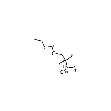 CCCCOCC(C)(C)N(Cl)Cl